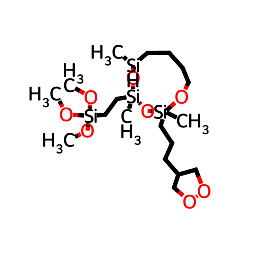 CO[Si](CC[Si]1(C)O[SiH](C)CCCCO[Si](C)(CCCC2COOC2)O1)(OC)OC